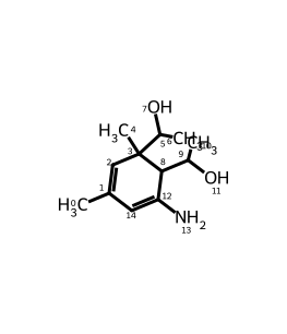 CC1=CC(C)(C(C)O)C(C(C)O)C(N)=C1